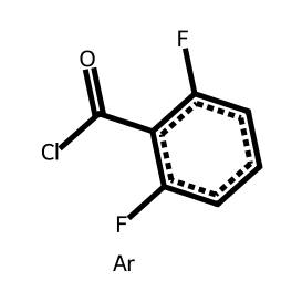 O=C(Cl)c1c(F)cccc1F.[Ar]